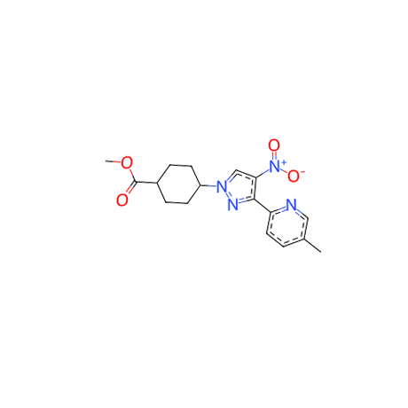 COC(=O)C1CCC(n2cc([N+](=O)[O-])c(-c3ccc(C)cn3)n2)CC1